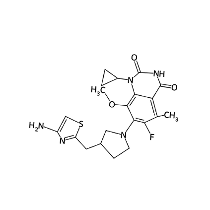 COc1c(N2CCC(Cc3nc(N)cs3)C2)c(F)c(C)c2c(=O)[nH]c(=O)n(C3CC3)c12